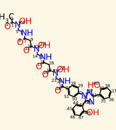 CC(=O)N(O)CNC(=O)CC(=O)N(O)CNC(=O)CC(=O)N(O)CNC(=O)c1ccc(-n2nc(-c3ccccc3O)nc2-c2ccccc2O)cc1